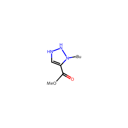 CCC(C)N1NNC=C1C(=O)OC